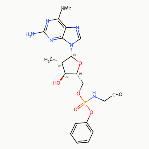 CNc1nc(N)nc2c1ncn2[C@@H]1O[C@H](COP(=O)(NCC=O)Oc2ccccc2)[C@@H](O)[C@@H]1C